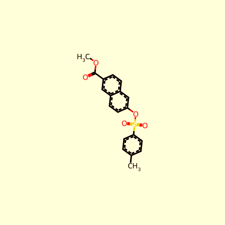 COC(=O)c1ccc2cc(OS(=O)(=O)c3ccc(C)cc3)ccc2c1